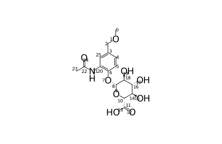 COCc1ccc(O[C@H]2O[C@@H](C(=O)O)[C@H](O)[C@@H](O)[C@@H]2O)c(NC(C)=O)c1